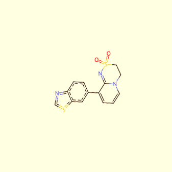 O=S1(=O)CCN2C=CC=C(c3ccc4ncsc4c3)C2=N1